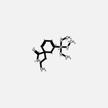 CCCC1(C(=O)S)C=CC=C([Si](OC)(OC)OC)C1